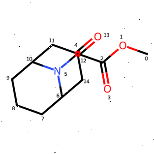 COC(=O)CN1C2CCCC1CC(=O)C2